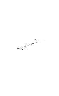 C=C/C(=C\C=C/C)COC(=O)NCCCCCCN(CC(=C)C)CC(=O)O